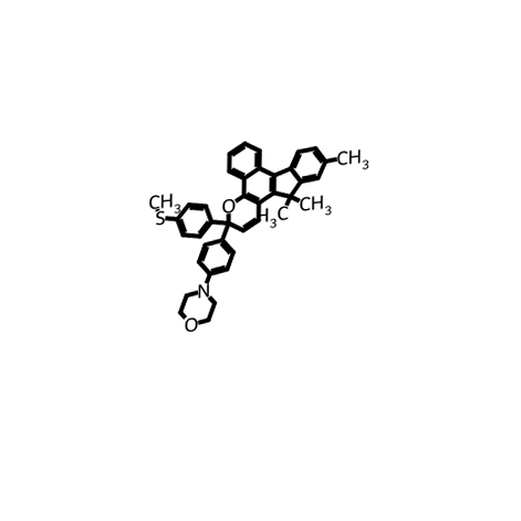 CSc1ccc(C2(c3ccc(N4CCOCC4)cc3)C=Cc3c4c(c5ccccc5c3O2)-c2ccc(C)cc2C4(C)C)cc1